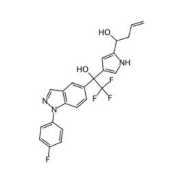 C=CCC(O)c1cc(C(O)(c2ccc3c(cnn3-c3ccc(F)cc3)c2)C(F)(F)F)c[nH]1